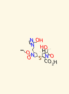 C=CCOC(=O)N1C[C@@H](SC2=C(C(=O)O)N3C(=O)[C@H]([C@@H](C)O)[C@H]3[C@H]2C)C[C@@H]1CCn1ccnc1CO